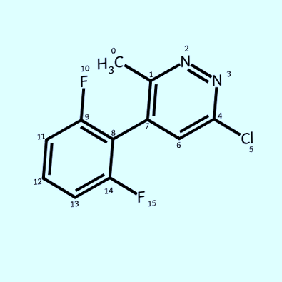 Cc1nnc(Cl)cc1-c1c(F)cccc1F